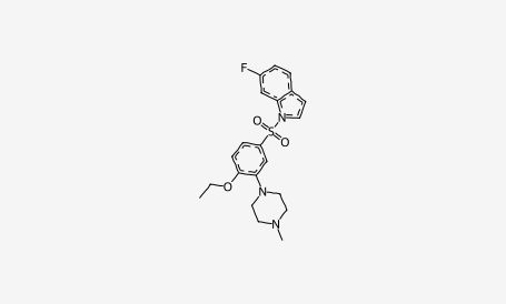 CCOc1ccc(S(=O)(=O)n2ccc3ccc(F)cc32)cc1N1CCN(C)CC1